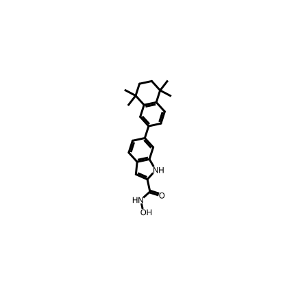 CC1(C)CCC(C)(C)c2cc(-c3ccc4cc(C(=O)NO)[nH]c4c3)ccc21